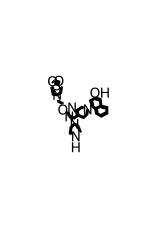 O=S1(=O)CCN(CCOc2nc3c(c(N4CCNCC4)n2)CCN(c2cc(O)cc4ccccc24)C3)CC1